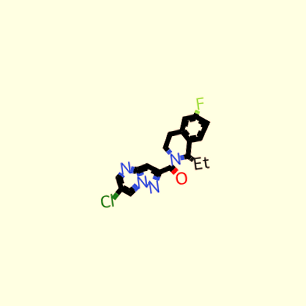 CCC1c2ccc(F)cc2CCN1C(=O)c1cc2ncc(Cl)cn2n1